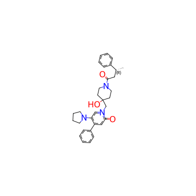 C[C@H](CC(=O)N1CCC(O)(Cn2cc(N3CCCC3)c(-c3ccccc3)cc2=O)CC1)c1ccccc1